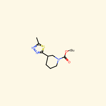 Cc1nnc(C2CCCN(C(=O)OC(C)(C)C)C2)s1